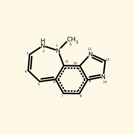 CN1NC=CC=c2ccc3c(c21)N=CN=3